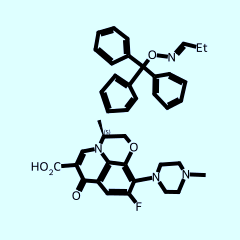 CCC=NOC(c1ccccc1)(c1ccccc1)c1ccccc1.C[C@H]1COc2c(N3CCN(C)CC3)c(F)cc3c(=O)c(C(=O)O)cn1c23